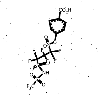 O=C(O)c1ccc(OS(=O)(=O)C(F)(F)C(F)(F)C(F)(F)S(=O)(=O)NS(=O)(=O)C(F)(F)F)cc1